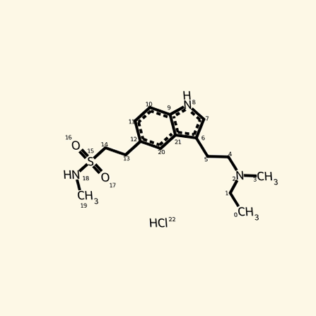 CCN(C)CCc1c[nH]c2ccc(CCS(=O)(=O)NC)cc12.Cl